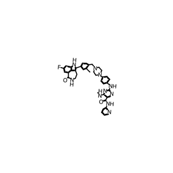 CNc1nc(Nc2ccc(N3CCN(Cc4ccc(-c5[nH]c6cc(F)cc7c6c5CCNC7=O)cc4C)CC3)cc2)ncc1C(=O)Nc1ccccn1